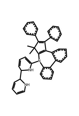 CC1(C)C(c2ccccc2)=C(c2ccccc2)C2=C1N(C1=CC=CC(C3C=CC=CN3)N1)c1ccccc1-c1ccccc12